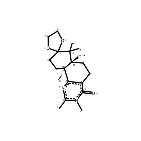 Cc1nc2c(c(=O)n1C)CC[C@H]1C(C)(C)C3(CC[C@]21C)OCCO3